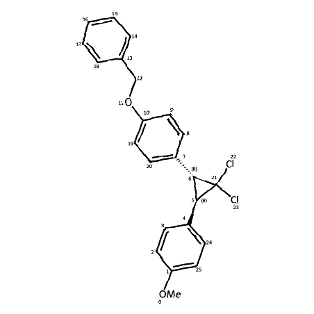 COc1ccc([C@H]2[C@H](c3ccc(OCc4ccccc4)cc3)C2(Cl)Cl)cc1